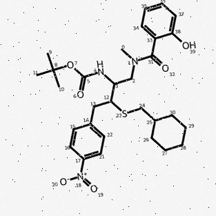 CN(CC(NC(=O)OC(C)(C)C)C(Cc1ccc([N+](=O)[O-])cc1)SCC1CCCCC1)C(=O)c1ccccc1O